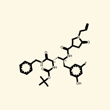 C=CCN1CC(C(=O)N[C@@H](Cc2cc(O)cc(F)c2)C[C@H](NC(=O)OC(C)(C)C)C(=O)NCc2ccccc2)CC1=O